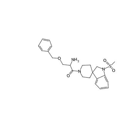 CS(=O)(=O)N1CC2(CCN(C(=O)C(N)COCc3ccccc3)CC2)c2ccccc21